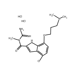 CN(C)CCCOc1ccc(Cl)c2cc(C(=O)N(C)C(=N)N)[nH]c12.Cl.Cl